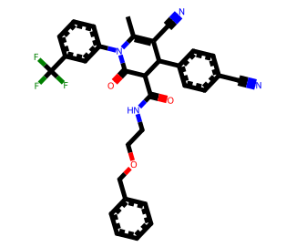 CC1=C(C#N)C(c2ccc(C#N)cc2)C(C(=O)NCCOCc2ccccc2)C(=O)N1c1cccc(C(F)(F)F)c1